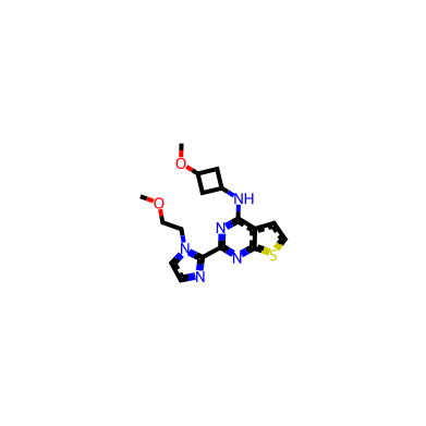 COCCn1ccnc1-c1nc(NC2CC(OC)C2)c2ccsc2n1